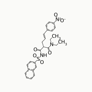 CCN(CC)C(=O)C(CC=Cc1ccc([N+](=O)[O-])cc1)C(=O)NS(=O)(=O)c1ccc2ccccc2c1